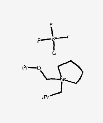 CC(C)C[N+]1(COC(C)C)CCCC1.F[B-](F)(F)Cl